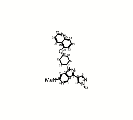 CNc1cc2c(cn1)c(-c1cnn(C)c1)nn2[C@H]1CC[C@@H](Oc2cccc3ncccc23)CC1